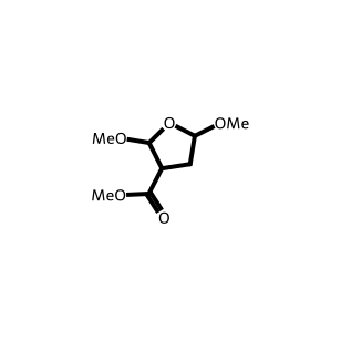 COC(=O)C1CC(OC)OC1OC